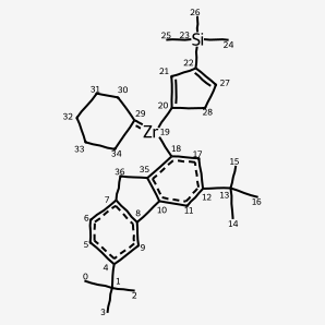 CC(C)(C)c1ccc2c(c1)-c1cc(C(C)(C)C)c[c]([Zr]([C]3=CC([Si](C)(C)C)=CC3)=[C]3CCCCC3)c1C2